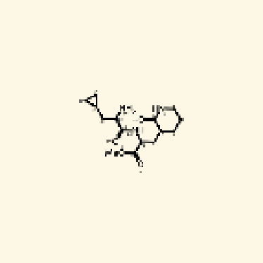 COC(=O)C(CC1CCCNC1=O)NC(=O)C(N)CC1CC1